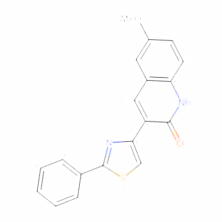 COc1ccc2[nH]c(=O)c(-c3csc(-c4ccccc4)n3)cc2c1